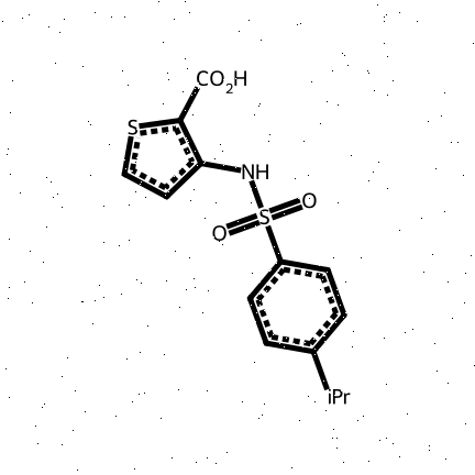 CC(C)c1ccc(S(=O)(=O)Nc2ccsc2C(=O)O)cc1